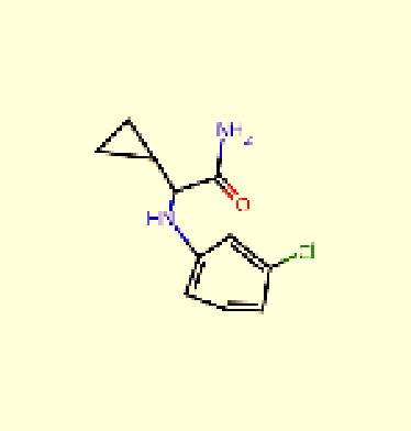 NC(=O)C(Nc1cccc(Cl)c1)C1CC1